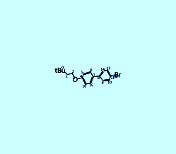 CC(C)(C)CCOc1ccc(-c2ccc(Br)cc2)cc1